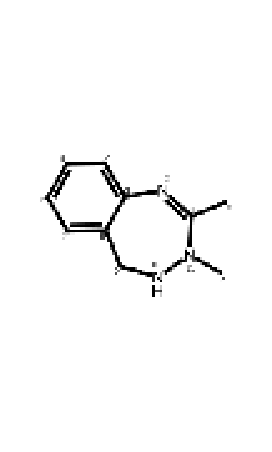 CC1=Nc2ccccc2CNN1C